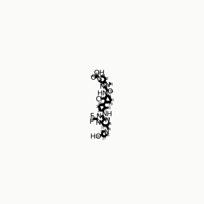 Cc1c(Nc2nc(C(F)F)nc3cc(CN4CCC(O)C4)cnc23)cccc1-c1cccc(NC(=O)c2nc3c(n2C)CCN(C(=O)O)C3)c1Cl